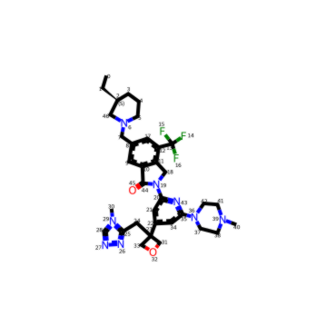 CC[C@H]1CCCN(Cc2cc3c(c(C(F)(F)F)c2)CN(c2cc(C4(Cc5nncn5C)COC4)cc(N4CCN(C)CC4)n2)C3=O)C1